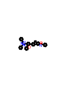 CC1(C)c2cc(-c3ccc(-c4nc(-c5ccccc5)nc(-c5ccccc5)n4)c4c3oc3ccccc34)ccc2-c2cc3nc(-c4ccccc4)oc3cc21